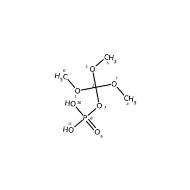 COC(OC)(OC)OP(=O)(O)O